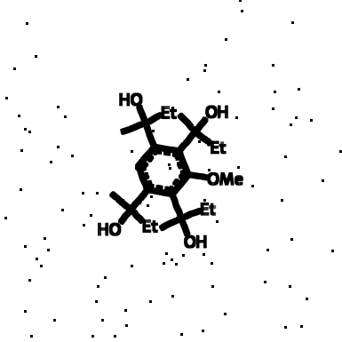 CCC(C)(O)c1cc(C(C)(O)CC)c(C(C)(O)CC)c(OC)c1C(C)(O)CC